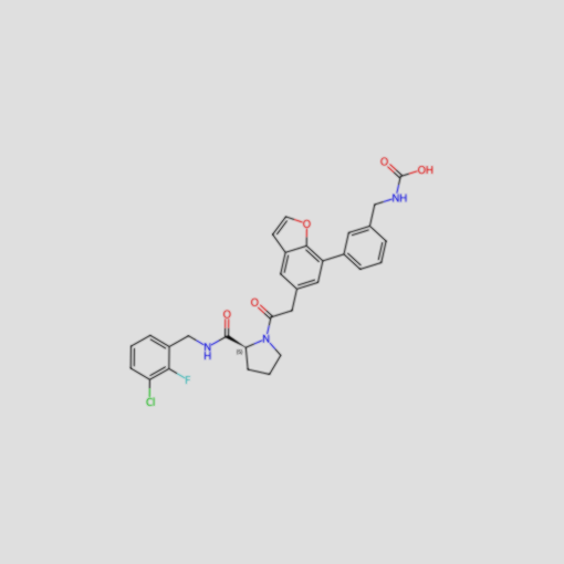 O=C(O)NCc1cccc(-c2cc(CC(=O)N3CCC[C@H]3C(=O)NCc3cccc(Cl)c3F)cc3ccoc23)c1